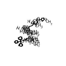 COc1ccc(C2OC[C@H](C)[C@@H]([C@@H](C)C(=O)CC[C@H](C)C[C@@H](C)[C@@H](O[Si](C)(C)C(C)(C)C)[C@@H](C)C=C[C@H](C[C@H](O[Si](C)(C)C(C)(C)C)[C@@H](C)C=CCOC(c3ccccc3)(c3ccccc3)c3ccccc3)O[Si](C)(C)C(C)(C)C)O2)cc1